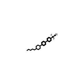 CCCCCC1CCC(c2ccc(-c3ccc(C(F)(F)C#N)cc3)cc2)CC1